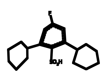 O=S(=O)(O)c1c(C2CCCCC2)cc(F)cc1C1CCCCC1